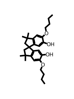 CCCCOc1cc2c(cc1O)C1(CC2(C)C)CC(C)(C)c2cc(OCCCC)c(O)cc21